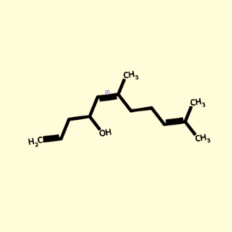 C=CCC(O)/C=C(/C)CCC=C(C)C